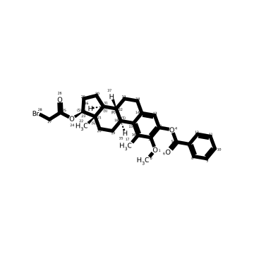 COc1c(OC(=O)c2ccccc2)cc2c(c1C)[C@H]1CC[C@]3(C)[C@@H](OC(=O)CBr)CC[C@H]3[C@@H]1CC2